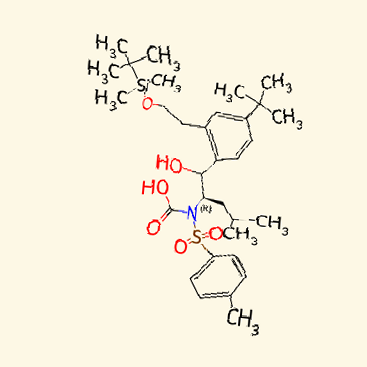 Cc1ccc(S(=O)(=O)N(C(=O)O)[C@H](CC(C)C)C(O)c2ccc(C(C)(C)C)cc2CCO[Si](C)(C)C(C)(C)C)cc1